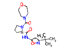 CC(C)(C)c1cc(NC(=O)[C@@H]2CCCN2C(=O)N2CCOCC2)on1